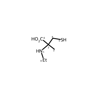 CCNC(C)(CS)C(=O)O